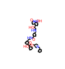 O=C(NCCc1cccc(C(O)(C(=O)OCC2CCN(Cc3ccccc3)CC2)c2ccccc2)c1)c1ccc(CNC[C@@H](O)c2ccc(O)c3[nH]c(=O)ccc23)cc1